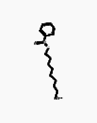 CCCCCCCCCCCCCCCCCCO[PH](=O)c1ccccc1